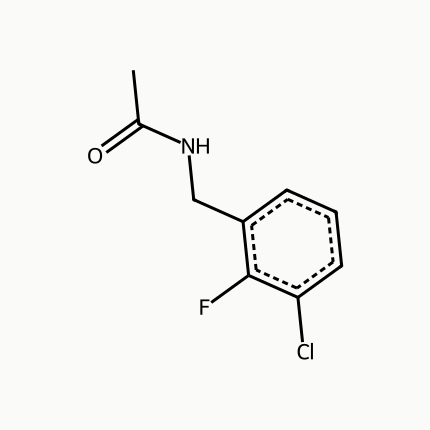 CC(=O)NCc1cccc(Cl)c1F